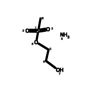 CS(=O)(=O)OCCO.N